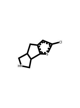 Clc1cc2c(s1)C1CNCC1C2